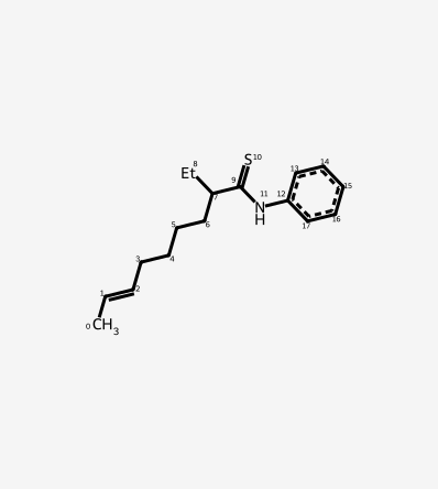 CC=CCCCCC(CC)C(=S)Nc1ccccc1